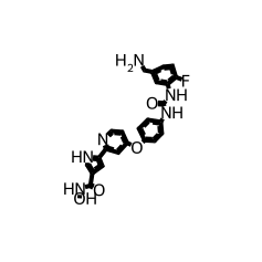 NCc1ccc(F)c(NC(=O)Nc2ccc(Oc3ccnc(-c4cc(C(=O)NO)c[nH]4)c3)cc2)c1